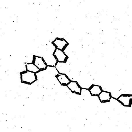 c1ccc(-c2ccc3cc(-c4ccc5ccc(N(c6ccc7ccccc7c6)c6ccc7sc8ccccc8c7c6)cc5c4)ccc3c2)cc1